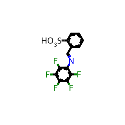 O=S(=O)(O)c1ccccc1C=Nc1c(F)c(F)c(F)c(F)c1F